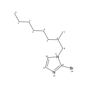 CCCCCCC(C)Cn1ccnc1Br